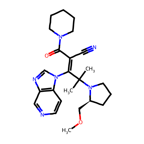 COC[C@@H]1CCCN1C(C)(C)C(=C(C#N)C(=O)N1CCCCC1)n1cnc2cnccc21